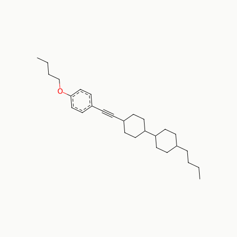 CCCCOc1ccc(C#CC2CCC(C3CCC(CCCC)CC3)CC2)cc1